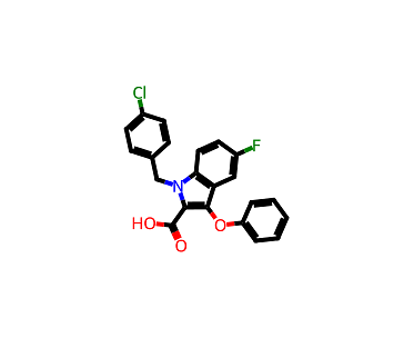 O=C(O)c1c(Oc2ccccc2)c2cc(F)ccc2n1Cc1ccc(Cl)cc1